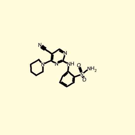 N#Cc1cnc(Nc2ccccc2S(N)(=O)=O)nc1N1CCCCC1